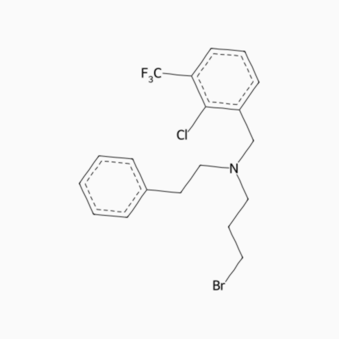 FC(F)(F)c1cccc(CN(CCCBr)CCc2ccccc2)c1Cl